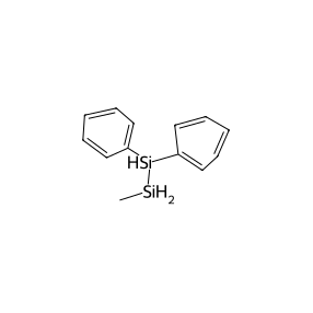 C[SiH2][SiH](c1ccccc1)c1ccccc1